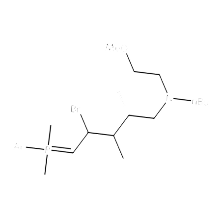 CCCCN(CCOC)C[C@@H](C)C(C)C(Br)C=P(C)(C)C(C)=O